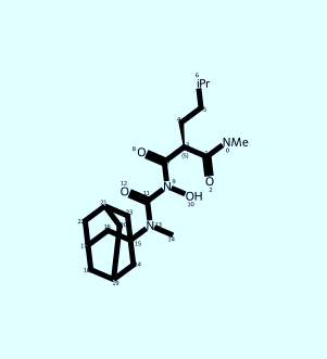 CNC(=O)[C@H](CCC(C)C)C(=O)N(O)C(=O)N(C)C12CC3CC(CC(C3)C1)C2